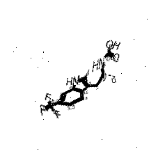 C[C@H](Cc1c[nH]c2cc(C(F)(F)F)ccc12)NC(=O)O